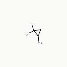 CC(C)(C)C1CC1(C(F)(F)F)C(F)(F)F